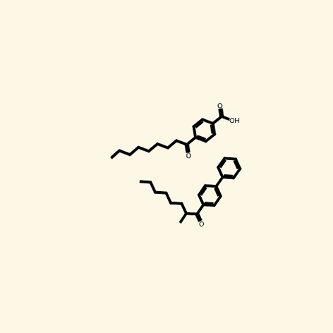 CCCCCCC(C)C(=O)c1ccc(-c2ccccc2)cc1.CCCCCCCCC(=O)c1ccc(C(=O)O)cc1